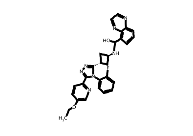 CCOc1ccc(-c2nnc([C@H]3C[C@H](NC(O)c4cccc5nccnc45)C3)n2-c2ccccc2F)nc1